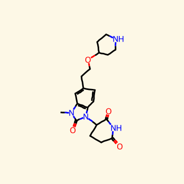 Cn1c(=O)n(C2CCC(=O)NC2=O)c2ccc(CCOC3CCNCC3)cc21